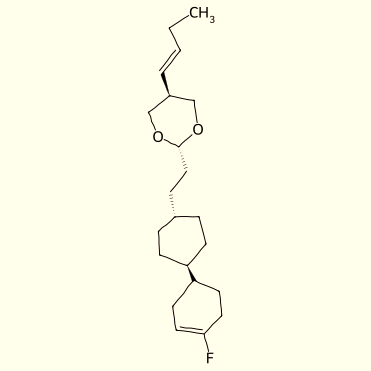 CC/C=C/[C@H]1CO[C@H](CC[C@H]2CC[C@H](C3CC=C(F)CC3)CC2)OC1